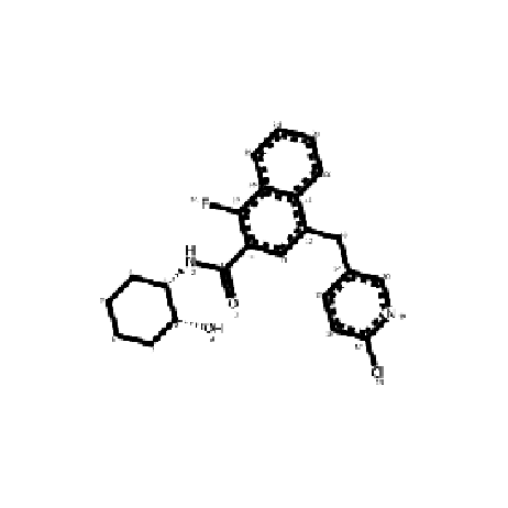 O=C(N[C@H]1CCCC[C@H]1O)c1cc(Cc2ccc(Cl)nc2)c2ccccc2c1F